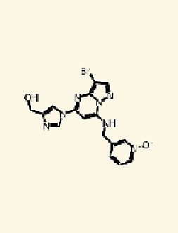 [O-][n+]1cccc(CNc2cc(-n3cnc(CO)c3)nc3c(Br)cnn23)c1